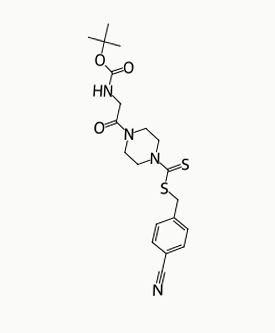 CC(C)(C)OC(=O)NCC(=O)N1CCN(C(=S)SCc2ccc(C#N)cc2)CC1